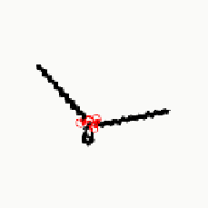 CCCCCCCCCCCCCCCCCC(=O)OC([CH2][Al]1[CH2]CCC[CH2]1)OC(=O)CCCCCCCCCCCCCCCCC